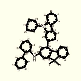 CC1(C)c2ccccc2-c2c(-c3ccc4c5ccccc5n(-c5ccccc5)c4c3)cc(Nc3ccccc3-c3ccccc3)cc21